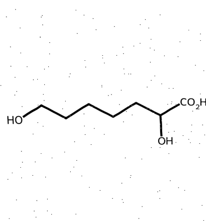 O=C(O)C(O)CCCCCO